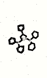 c1ccc(C(CCP(c2ccccc2)c2ccccc2)C[SiH2]P(C2CCCCC2)C2CCCCC2)cc1